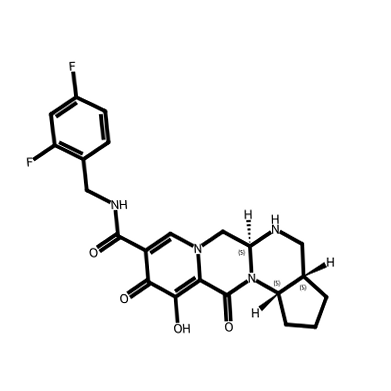 O=C(NCc1ccc(F)cc1F)c1cn2c(c(O)c1=O)C(=O)N1[C@@H](C2)NC[C@@H]2CCC[C@@H]21